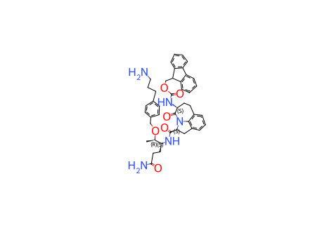 C[C@@H](OCc1ccc(CCCN)cc1)[C@H](CCC(N)=O)NC(=O)[C@@H]1Cc2cccc3c2N1C(=O)[C@@H](NC(=O)OCC1c2ccccc2-c2ccccc21)CC3